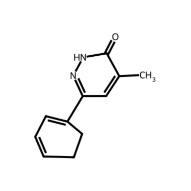 Cc1cc(C2=CC=CCC2)n[nH]c1=O